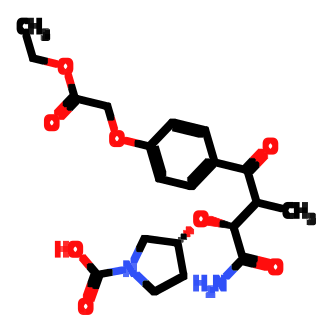 CCOC(=O)COc1ccc(C(=O)C(C)[C@H](O[C@@H]2CCN(C(=O)O)C2)C(N)=O)cc1